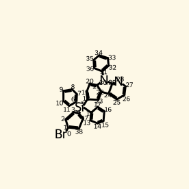 Brc1ccc([Si](c2ccccc2)(c2ccccc2)c2ccc3c(c2)c2cccnc2n3-c2ccccc2)cc1